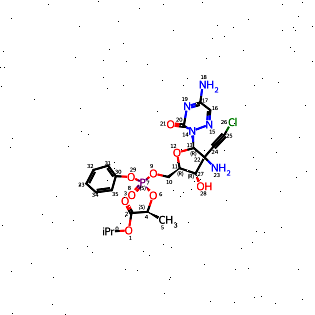 CC(C)OC(=O)[C@H](C)O[P@](=O)(OC[C@H]1O[C@@H](n2ncc(N)nc2=O)C(N)(C#CCl)[C@H]1O)Oc1ccccc1